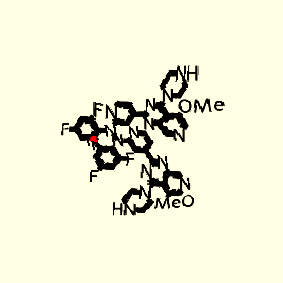 COc1cncc2nc(-c3ccnc(N(c4c(F)cc(F)cc4F)N(c4cc(-c5nc(N6CCNCC6)c6c(OC)cncc6n5)ccn4)c4c(F)cc(F)cc4F)c3)nc(N3CCNCC3)c12